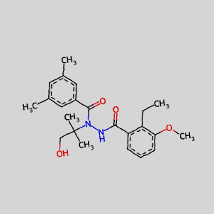 CCc1c(OC)cccc1C(=O)NN(C(=O)c1cc(C)cc(C)c1)C(C)(C)CO